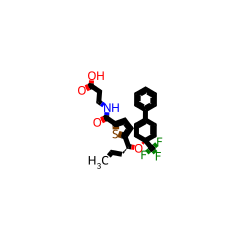 CCC[C@@H](O[C@]1(C(F)(F)F)C=CC(c2ccccc2)=CC1)c1ccc(C(=O)NCCC(=O)O)s1